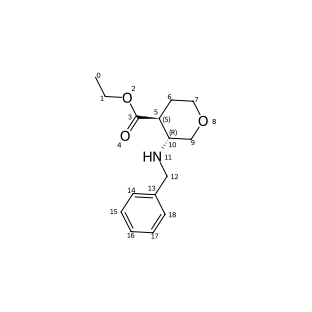 CCOC(=O)[C@H]1CCOC[C@@H]1NCc1ccccc1